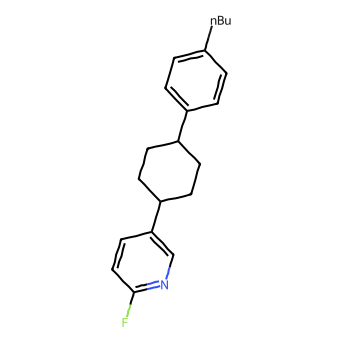 CCCCc1ccc(C2CCC(c3ccc(F)nc3)CC2)cc1